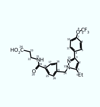 CCc1cc(-c2ccc(OC(F)(F)F)cc2)nn1Cc1ccc(C(=O)NCCC(=O)O)cc1